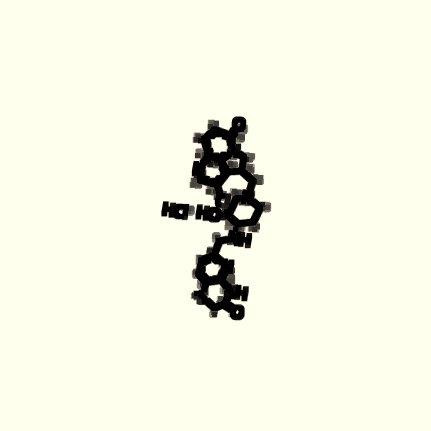 Cl.O=C1CSc2ccc(CN[C@H]3CCN(CC4Cn5c(=O)ccc6ncc(Cl)c4c65)C[C@H]3O)nc2N1